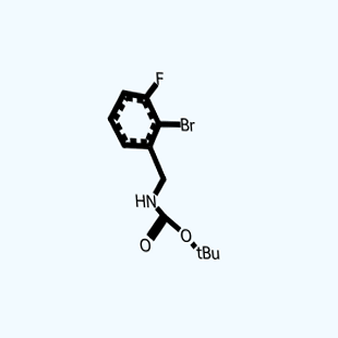 CC(C)(C)OC(=O)NCc1cccc(F)c1Br